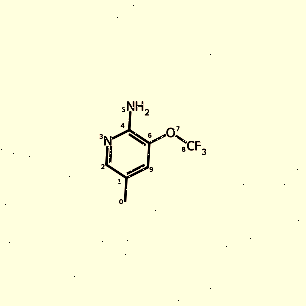 Cc1cnc(N)c(OC(F)(F)F)c1